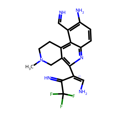 CN1CCc2c(c(/C(=C/N)C(=N)C(F)(F)F)nc3ccc(N)c(C=N)c23)C1